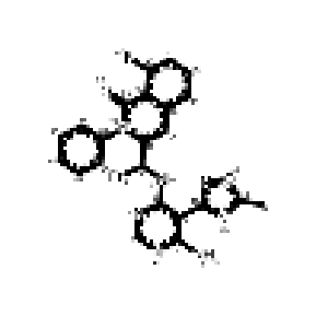 CCC(Nc1ncnc(N)c1-c1noc(C)n1)c1cc2cccc(F)c2c(=O)n1-c1ccccc1